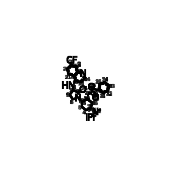 CC(C)N(C)[C@@H]1CC[C@H](N2CCC(Nc3ccnc4cc(C(F)(F)F)ccc34)C2=O)[C@H](CS(=O)(=O)c2ccccc2)C1